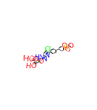 O=S(=O)(c1ccc(-c2ccc(-c3nc4nc(O[C@H]5COC(CO)[C@@H](O)C5)[nH]c4cc3Cl)cc2)cc1)C1COC1